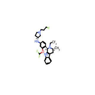 C[C@@H]1Cc2c([nH]c3ccccc23)[C@@H](c2ccc(N[C@@H]3CCN(CCCF)C3)cc2OC(F)F)N1CC(F)(F)F